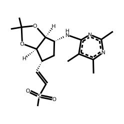 Cc1nc(C)c(C)c(N[C@@H]2C[C@H](/C=C/S(C)(=O)=O)[C@H]3OC(C)(C)O[C@H]32)n1